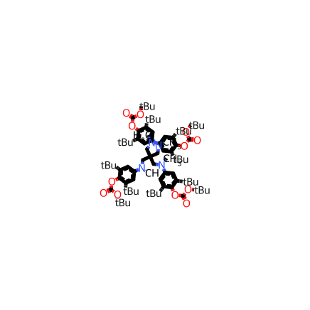 CN(CC(CN(C)c1cc(C(C)(C)C)c(OC(=O)OC(C)(C)C)c(C(C)(C)C)c1)(CN(C)c1cc(C(C)(C)C)c(OC(=O)OC(C)(C)C)c(C(C)(C)C)c1)CN(C)c1cc(C(C)(C)C)c(OC(=O)OC(C)(C)C)c(C(C)(C)C)c1)c1cc(C(C)(C)C)c(OC(=O)OC(C)(C)C)c(C(C)(C)C)c1